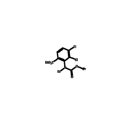 CCOC(=O)c1ccc(Cl)c(Cl)c1N(CC)C(=O)OC(C)C